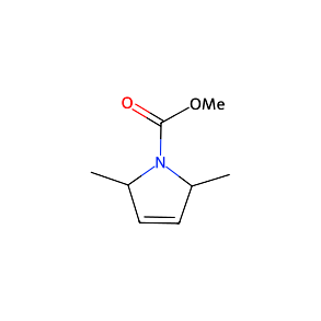 COC(=O)N1C(C)C=CC1C